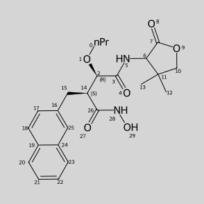 CCCO[C@@H](C(=O)NC1C(=O)OCC1(C)C)[C@H](Cc1ccc2ccccc2c1)C(=O)NO